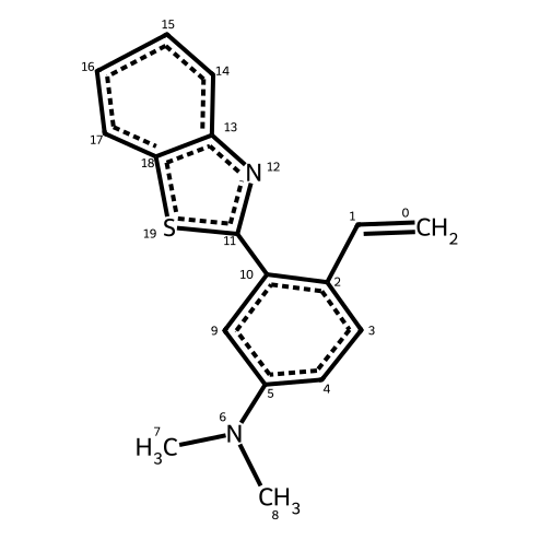 C=Cc1ccc(N(C)C)cc1-c1nc2ccccc2s1